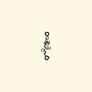 O=C(C=Cc1ccccc1)NCc1cc(COc2ccccc2)no1